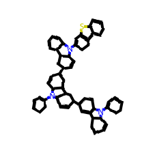 C1=CCCC(N2C3CCC(C4C=CC5C(C4)C4CC(C6C=CC7C(C6)C6CCC=CC6N7C6=CC7=C(CC6)C6CCC=CC6S7)C=CC4N5C4=CC=CCC4)C=C3C3CCC=CC32)=C1